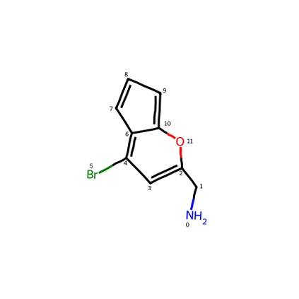 NCc1cc(Br)c2cccc-2o1